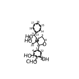 O=Cc1c(O)cc(C2OCCN(C(O)c3ccccc3)[C@@H]2CO)cc1O